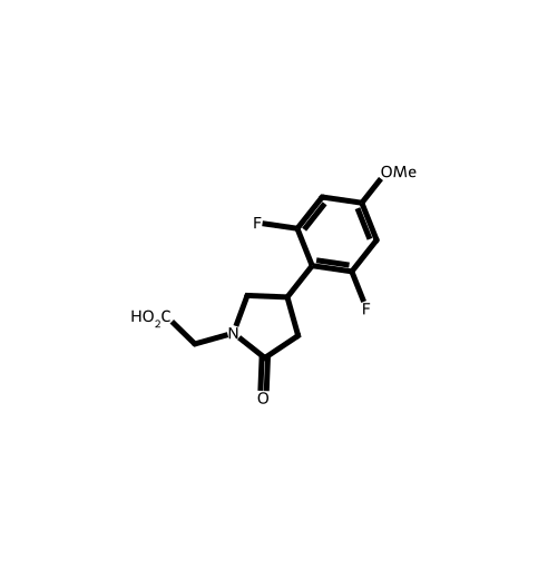 COc1cc(F)c(C2CC(=O)N(CC(=O)O)C2)c(F)c1